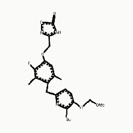 CCC(C)c1nc(Cc2c(C)cc(OCc3noc(=O)[nH]3)c(F)c2C)ccc1OCOC